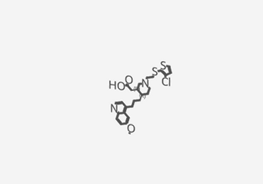 COc1ccc2nccc(CCC[C@@H]3CCN(CCSc4sccc4Cl)C[C@@H]3CC(=O)O)c2c1